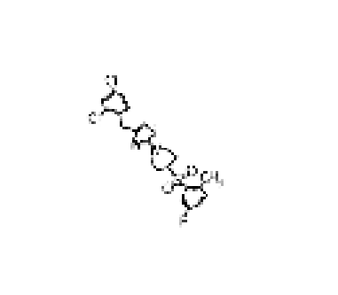 Cc1ccc(F)cc1S(=O)(=O)C1CCN(c2nc(Cc3ccc(Cl)cc3Cl)cs2)CC1